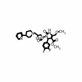 COCC1=C(C(=O)OC)C(c2ccc(F)c(F)c2)N(N(C=O)CC(O)CN2CCC(c3ccccn3)CC2)C(=O)N1